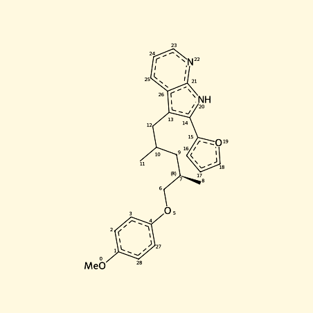 COc1ccc(OC[C@H](C)CC(C)Cc2c(-c3ccco3)[nH]c3ncccc23)cc1